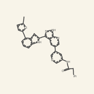 Cc1ccc(-c2cccc3[nH]c(-c4n[nH]c5ncc(-c6cncc(NC(=O)CC(C)C)c6)cc45)cc23)s1